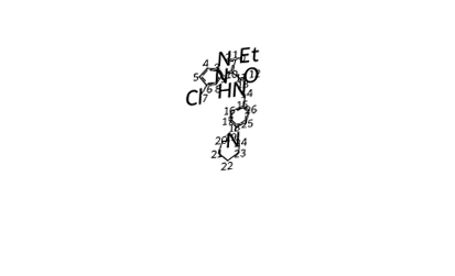 CCc1nc2ccc(Cl)cn2c1C(=O)NCc1ccc(N2CCCCC2)cc1